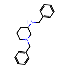 c1ccc(CN[C@@H]2CCCN(Cc3ccccc3)C2)cc1